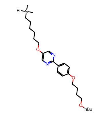 CCCCOCCCCOc1ccc(-c2ncc(OCCCCCC[Si](C)(C)CC)cn2)cc1